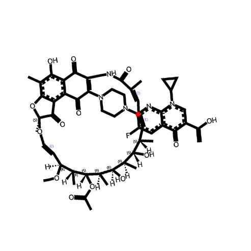 C=C(O)c1cn(C2CC2)c2nc(N3CCN(C4=C5NC(=O)/C(C)=C\C=C\[C@H](C)[C@H](O)[C@@H](C)[C@@H](O)[C@@H](C)[C@H](OC(C)=O)[C@H](C)[C@@H](OC)/C=C/O[C@@]6(C)Oc7c(C)c(O)c(c(c7C6=O)C4=O)C5=O)CC3)c(F)cc2c1=O